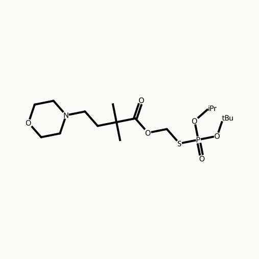 CC(C)OP(=O)(OC(C)(C)C)SCOC(=O)C(C)(C)CCN1CCOCC1